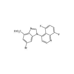 CCOC(=O)c1cc(Br)cc2c1ncn2-c1ccnc2c(F)ccc(F)c12